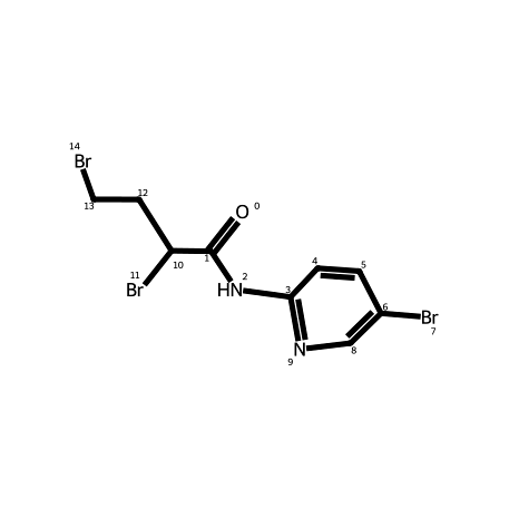 O=C(Nc1ccc(Br)cn1)C(Br)CCBr